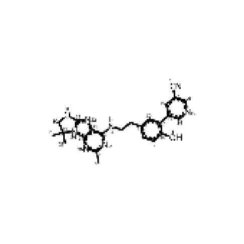 Cc1nc(NCCc2ccc(O)c(-c3cncc(C#N)c3)c2)c2nc3n(c2n1)C(C)(C)CO3